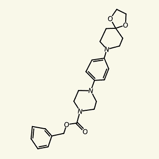 O=C(OCc1ccccc1)N1CCN(c2ccc(N3CCC4(CC3)OCCO4)cc2)CC1